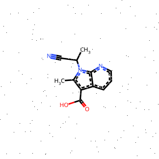 Cc1c(C(=O)O)c2cccnc2n1C(C)C#N